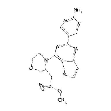 COC(=O)CC1COCCN1c1nc(-c2cnc(N)nc2)nc2ccsc12